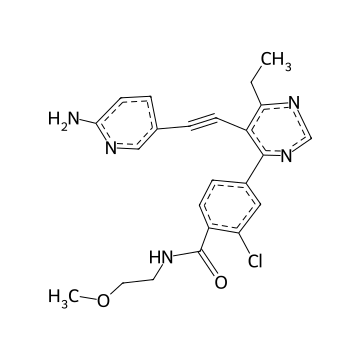 CCc1ncnc(-c2ccc(C(=O)NCCOC)c(Cl)c2)c1C#Cc1ccc(N)nc1